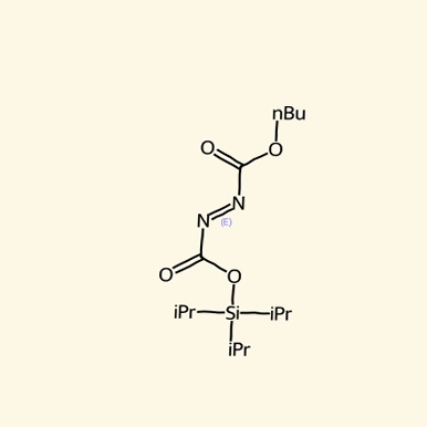 CCCCOC(=O)/N=N/C(=O)O[Si](C(C)C)(C(C)C)C(C)C